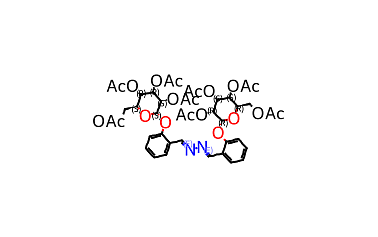 CC(=O)OC[C@@H]1O[C@@H](Oc2ccccc2/C=N/N=C/c2ccccc2O[C@H]2O[C@H](COC(C)=O)[C@H](OC(C)=O)[C@H](OC(C)=O)[C@H]2OC(C)=O)[C@@H](OC(C)=O)[C@H](OC(C)=O)[C@@H]1OC(C)=O